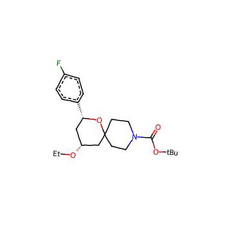 CCO[C@@H]1C[C@H](c2ccc(F)cc2)OC2(CCN(C(=O)OC(C)(C)C)CC2)C1